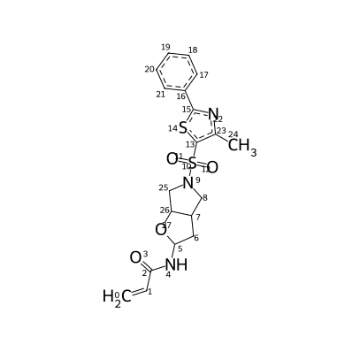 C=CC(=O)NC1CC2CN(S(=O)(=O)c3sc(-c4ccccc4)nc3C)CC2O1